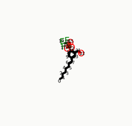 CCCCCC/C=C/c1ccc(OS(=O)(=O)C(F)(F)F)c(C=O)c1